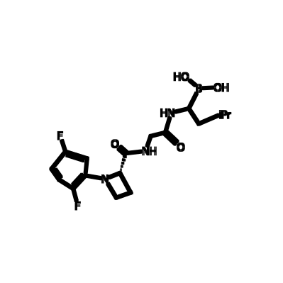 CC(C)CC(NC(=O)CNC(=O)[C@@H]1CCN1c1cc(F)ccc1F)B(O)O